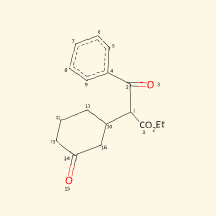 CCOC(=O)C(C(=O)c1ccccc1)C1CCCC(=O)C1